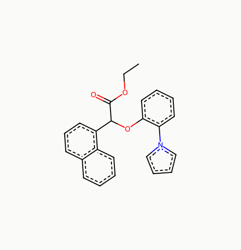 CCOC(=O)C(Oc1ccccc1-n1cccc1)c1cccc2ccccc12